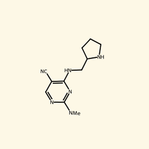 CNc1ncc(C#N)c(NCC2CCCN2)n1